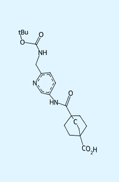 CC(C)(C)OC(=O)NCc1ccc(NC(=O)C23CCC(C(=O)O)(CC2)CC3)cn1